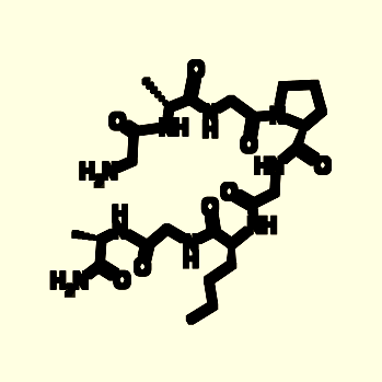 CCCC[C@H](NC(=O)CNC(=O)[C@@H]1CCCN1C(=O)CNC(=O)[C@@H](C)NC(=O)CN)C(=O)NCC(=O)N[C@@H](C)C(N)=O